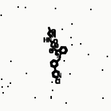 Cc1cc(NC(=O)CS(=O)(=O)c2cn(Cc3cccc(-c4ccc(Cl)nc4)c3)c3ccccc23)no1